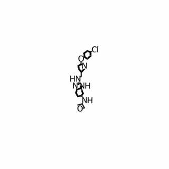 Clc1ccc(Oc2ccc(CNc3nc4ccc(NC5COC5)cc4[nH]3)cn2)cc1